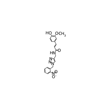 COc1cc(/C=C/C(=O)NCc2cn(Cc3ccccc3[N+](=O)[O-])nn2)ccc1O